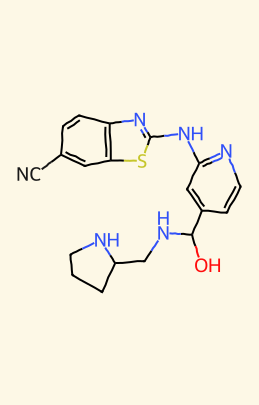 N#Cc1ccc2nc(Nc3cc(C(O)NCC4CCCN4)ccn3)sc2c1